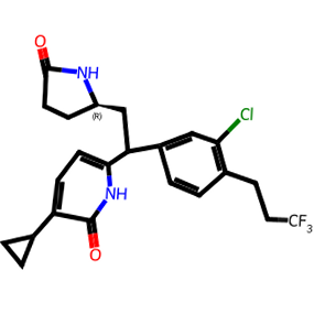 O=C1CC[C@H](CC(c2ccc(CCC(F)(F)F)c(Cl)c2)c2ccc(C3CC3)c(=O)[nH]2)N1